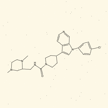 CN1CCN(C)C(CNC(=O)N2CCC(c3cn(-c4ccc(Cl)cc4)c4cnccc34)CC2)C1